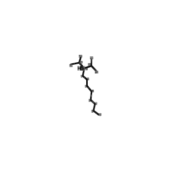 CCCCCCCC[SiH](C(C)C)C(C)C